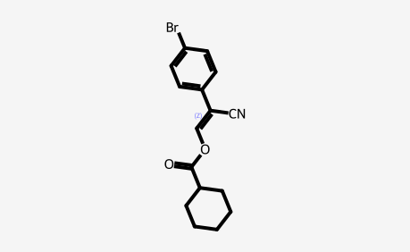 N#C/C(=C\OC(=O)C1CCCCC1)c1ccc(Br)cc1